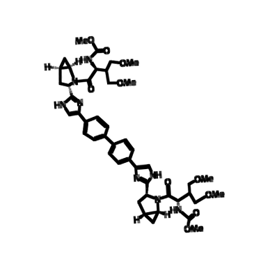 COCC(COC)[C@H](NC(=O)OC)C(=O)N1[C@@H]2C[C@@H]2C[C@H]1c1nc(-c2ccc(-c3ccc(-c4c[nH]c([C@@H]5C[C@H]6C[C@H]6N5C(=O)[C@@H](NC(=O)OC)C(COC)COC)n4)cc3)cc2)c[nH]1